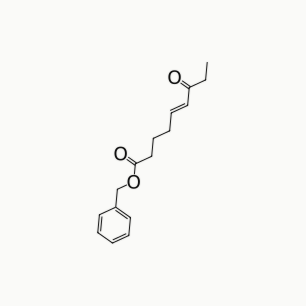 CCC(=O)/C=C/CCCC(=O)OCc1ccccc1